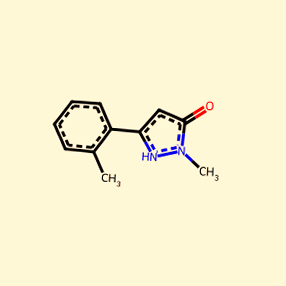 Cc1ccccc1-c1cc(=O)n(C)[nH]1